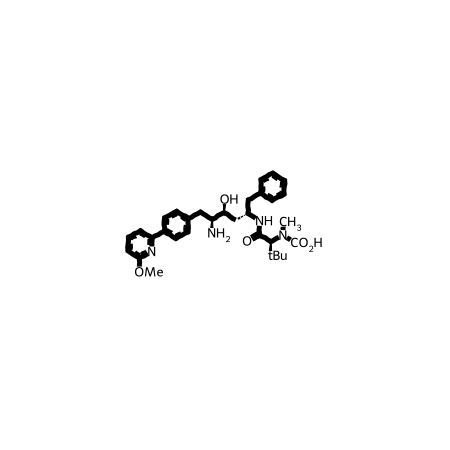 COc1cccc(-c2ccc(C[C@H](N)[C@@H](O)C[C@H](Cc3ccccc3)NC(=O)[C@@H](N(C)C(=O)O)C(C)(C)C)cc2)n1